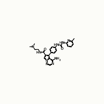 Cc1cccc(NC(=O)Nc2ccc(-c3c(C(=O)NCCN(C)C)cn4ncnc(N)c34)cc2)n1